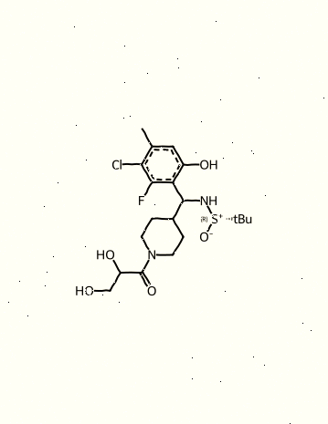 Cc1cc(O)c(C(N[S@@+]([O-])C(C)(C)C)C2CCN(C(=O)C(O)CO)CC2)c(F)c1Cl